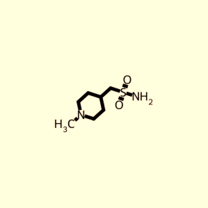 CN1CCC(CS(N)(=O)=O)CC1